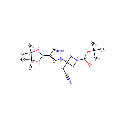 CC(C)(C)OC(O)N1CC(CC#N)(n2cc(B3OC(C)(C)C(C)(C)O3)cn2)C1